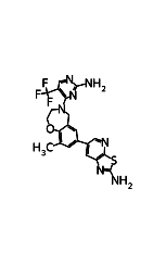 Cc1cc(-c2cnc3sc(N)nc3c2)cc2c1OCCN(c1nc(N)ncc1C(F)(F)F)C2